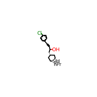 CCC[Si@H]1CC[C@H](CC(O)C#Cc2ccc(Cl)cc2)CC1